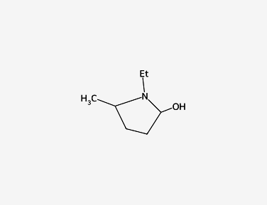 CCN1C(C)CCC1O